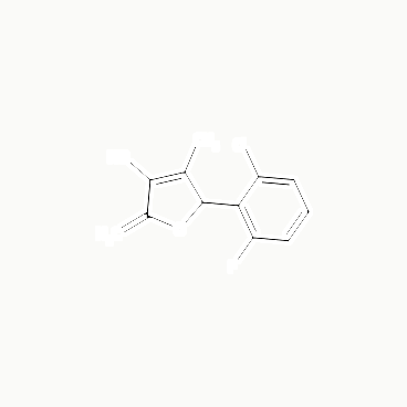 C=C1OC(c2c(F)cccc2Cl)C(C)=C1O